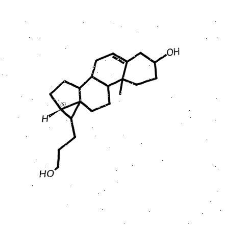 CC12CCC(O)CC1=CCC1C2CCC23C1CC[C@H]2C3CCCO